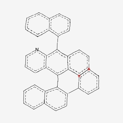 c1ccc(-c2ccc3ccccc3c2-c2c3ccccc3c(-c3cccc4ccccc34)c3ncccc23)cc1